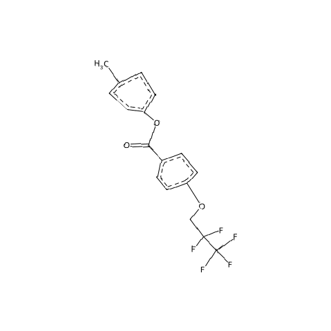 Cc1ccc(OC(=O)c2ccc(OCC(F)(F)C(F)(F)F)cc2)cc1